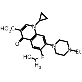 CCN1CCN(c2cc3c(cc2F)c(=O)c(C(=O)O)cn3C2CC2)CC1.CO